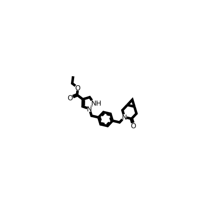 CCOC(=O)C1=CN(Cc2ccc(CN3CC4CC4CC3=O)cc2)NC1